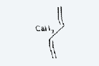 C=CC=C.[CaH2]